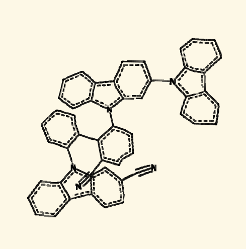 N#Cc1ccc2c3ccccc3n(-c3ccccc3-c3c(C#N)cccc3-n3c4ccccc4c4ccc(-n5c6ccccc6c6ccccc65)cc43)c2c1